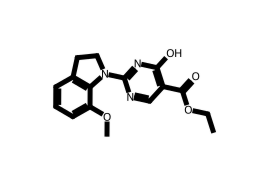 CCOC(=O)c1cnc(N2CCc3cccc(OC)c32)nc1O